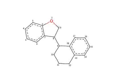 [C]1Oc2ccccc2C1C1CCCc2ccccc21